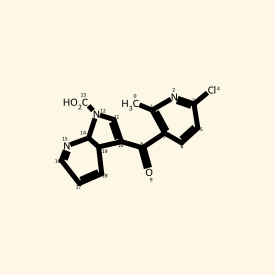 Cc1nc(Cl)ccc1C(=O)C1=CN(C(=O)O)C2N=CC=CC12